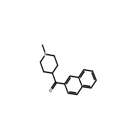 CN1CCC(C(=O)c2ccc3ccccc3c2)CC1